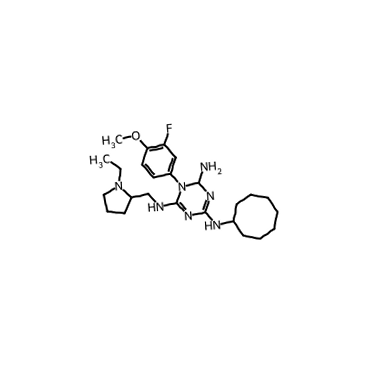 CCN1CCCC1CNC1=NC(NC2CCCCCCC2)=NC(N)N1c1ccc(OC)c(F)c1